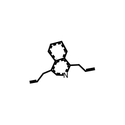 C=CCc1cnc(CC=C)c2ccccc12